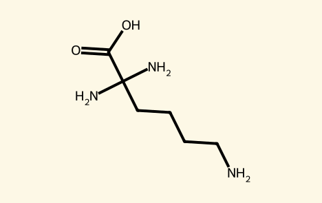 NCCCCC(N)(N)C(=O)O